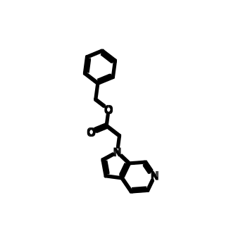 O=C(Cn1ccc2ccncc21)OCc1ccccc1